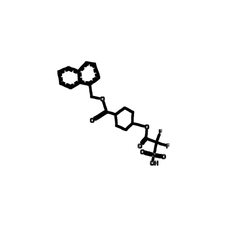 O=C(OCc1cccc2ccccc12)C1CCC(OC(=O)C(F)(F)S(=O)(=O)O)CC1